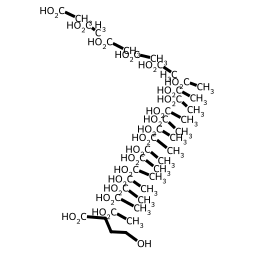 CC(=O)O.CC(=O)O.CC(=O)O.CC(=O)O.CC(=O)O.CC(=O)O.CC(=O)O.CC(=O)O.CC(=O)O.CC(=O)O.CC(=O)O.CC(=O)O.CC(=O)O.CC(=O)O.CC(=O)O.CC(=O)O.CC(=O)O.CC(=O)O.CC(=O)O.O=C(O)CCCO